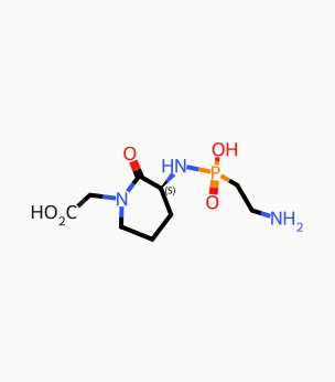 NCCP(=O)(O)N[C@H]1CCCN(CC(=O)O)C1=O